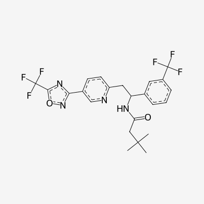 CC(C)(C)CC(=O)NC(Cc1ccc(-c2noc(C(F)(F)F)n2)cn1)c1cccc(C(F)(F)F)c1